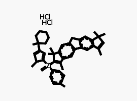 Cl.Cl.[CH2]=[Zr]([C]1=CC(C2(C)CCCCC2)=CC1C)([C]1=C(C)c2cc3c(cc2C1(C)C)Cc1cc2c(cc1-3)C(C)=CC2(C)C)[c]1ccc(C)cc1